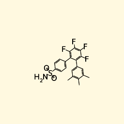 Cc1cc(-c2c(F)c(F)c(F)c(F)c2-c2ccc(S(N)(=O)=O)cc2)cc(C)c1C